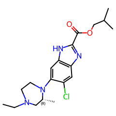 CCN1CCN(c2cc3[nH]c(C(=O)OCC(C)C)nc3cc2Cl)[C@H](C)C1